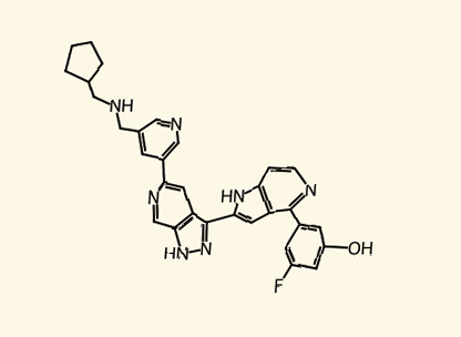 Oc1cc(F)cc(-c2nccc3[nH]c(-c4n[nH]c5cnc(-c6cncc(CNCC7CCCC7)c6)cc45)cc23)c1